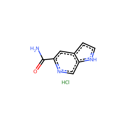 Cl.NC(=O)c1cc2cc[nH]c2cn1